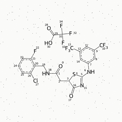 O=C(CC1SC(Nc2cc(C(F)(F)F)cc(C(F)(F)F)c2)=NC1=O)NCc1c(F)cccc1Cl.O=C(O)C(F)(F)F